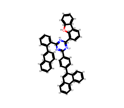 c1ccc(-c2nc(-c3ccc(-c4cc5ccccc5c5ccccc45)cc3)nc(-c3cccc4c3oc3ccccc34)n2)c(-c2ccc3ccccc3c2)c1